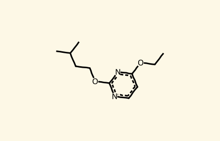 CCOc1ccnc(OCCC(C)C)n1